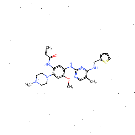 C=CC(=O)Nc1cc(Nc2ncc(C)c(NCc3cccs3)n2)c(OC)cc1N1CCN(C)CC1